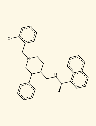 C[C@@H](NCC1CCN(Cc2ccccc2Cl)CC1c1ccccc1)c1cccc2ccccc12